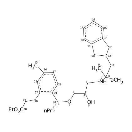 CCC[C@@H](OCC(O)CNC(C)(C)CC1Cc2ccccc2C1)c1ccc(C)cc1CCC(=O)OCC